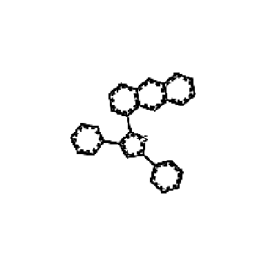 c1ccc(-c2cc(-c3ccccc3)c(-c3cccc4cc5ccccc5cc34)s2)cc1